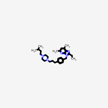 CCc1nc2c(C)cc(C)nc2n1Cc1ccc(CCCN2CCN(CCC(C)C)CC2)cc1